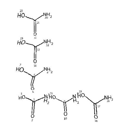 NC(=O)O.NC(=O)O.NC(=O)O.NC(=O)O.NC(=O)O.NC(=O)O